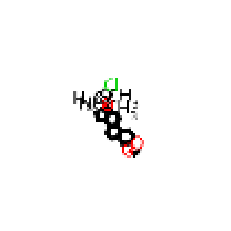 CC12CC=C3C4=C(CCC3C1CC[C@@]2(C#N)O[Si](C)(C)CCl)CC1(CC4)OCCO1